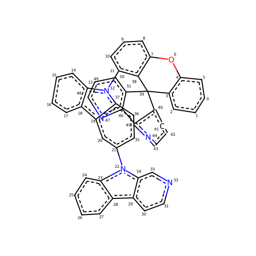 c1ccc2c(c1)Oc1cccc(-n3c4ccccc4c4cc(-n5c6ccccc6c6ccncc65)ccc43)c1C21c2cccnc2-c2ncccc21